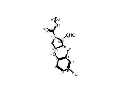 CC(C)(C)OC(=O)N1C[C@@H](Oc2ccc(F)cc2F)C[C@H]1C=O